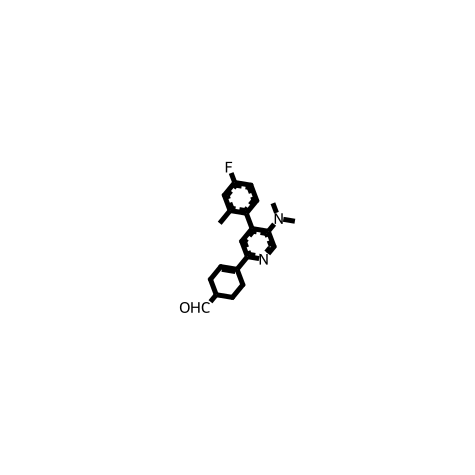 Cc1cc(F)ccc1-c1cc(C2=CCC(C=O)CC2)ncc1N(C)C